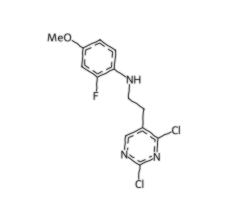 COc1ccc(NCCc2cnc(Cl)nc2Cl)c(F)c1